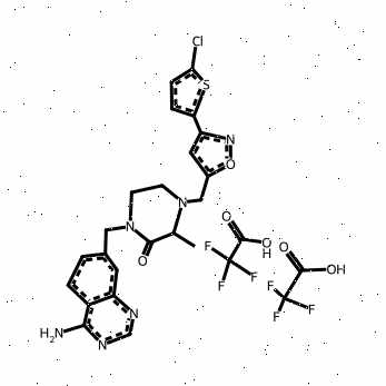 CC1C(=O)N(Cc2ccc3c(N)ncnc3c2)CCN1Cc1cc(-c2ccc(Cl)s2)no1.O=C(O)C(F)(F)F.O=C(O)C(F)(F)F